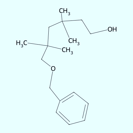 CC(C)(CCO)CC(C)(C)COCc1ccccc1